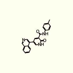 Cc1ccc(NC(=O)c2cc(-c3cncc4ccccc34)c[nH]c2=O)cc1